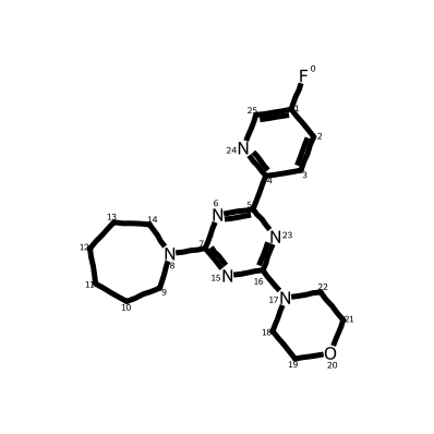 Fc1ccc(-c2nc(N3CCCCCC3)nc(N3CCOCC3)n2)nc1